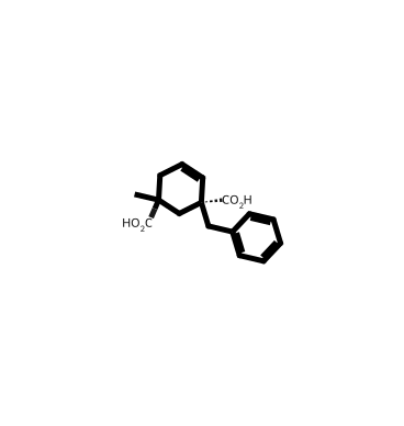 CC1(C(=O)O)CC=C[C@](Cc2ccccc2)(C(=O)O)C1